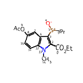 CCOC(=O)c1c([S+]([O-])C(C)C)c2cc(OC(C)=O)ccc2n1C